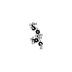 CNC(=O)c1cc(Oc2ccc(NC(=O)Nc3cc(C(F)(F)F)c(Cl)cc3OC3CCNCC3)cc2)ccn1